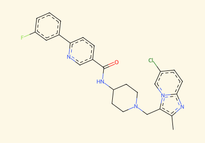 Cc1nc2ccc(Cl)cn2c1CN1CCC(NC(=O)c2ccc(-c3cccc(F)c3)nc2)CC1